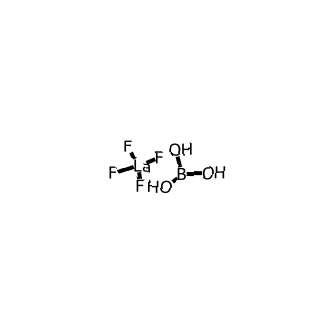 OB(O)O.[F][La]([F])([F])[F]